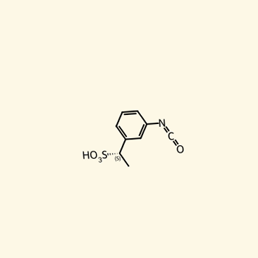 C[C@@H](c1cccc(N=C=O)c1)S(=O)(=O)O